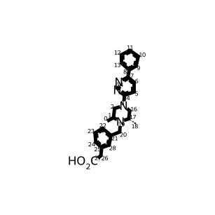 CC1CN(c2ccc(-c3ccccc3)nn2)C[C@H](C)N1Cc1cccc(CC(=O)O)c1